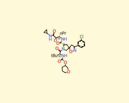 CCC[C@H](NC(=O)[C@@H]1C[C@]2(CC(c3cccc(Cl)c3)=NO2)CN1C(=O)[C@@H](NC(=O)OC1CCCOC1)C(C)(C)C)C(=O)C(=O)NC1CC1